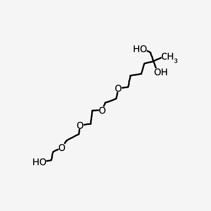 CC(O)(CO)CCCCOCCOCCOCCOCCO